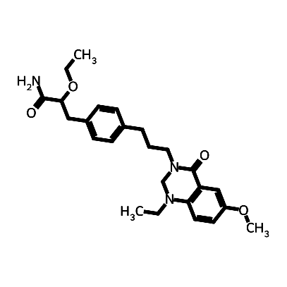 CCOC(Cc1ccc(CCCN2CN(CC)c3ccc(OC)cc3C2=O)cc1)C(N)=O